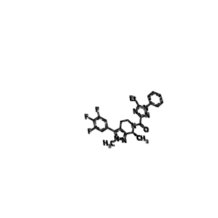 CCc1nc(C(=O)N2CCc3c(nn(C)c3-c3cc(F)c(F)c(F)c3)[C@@H]2C)nn1-c1ccccc1